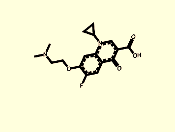 CN(C)CCOc1cc2c(cc1F)c(=O)c(C(=O)O)cn2C1CC1